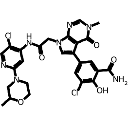 CC1CN(c2cc(NC(=O)Cn3cc(-c4cc(Cl)c(O)c(C(N)=O)c4)c4c(=O)n(C)cnc43)c(Cl)cn2)CCO1